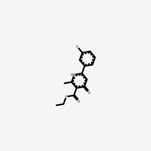 CCOC(=O)c1c(C)[nH]c(-c2cccc(F)c2)cc1=O